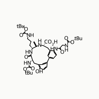 C=C1N[C@H](C(=O)O)Cc2cc(ccc2NC(=O)CNC(=O)OC(C)(C)C)-c2ccc(O)c(c2)C[C@H](NC(=O)OC(C)(C)C)C(=O)N[C@H]1CCCNC(=O)OC(C)(C)C